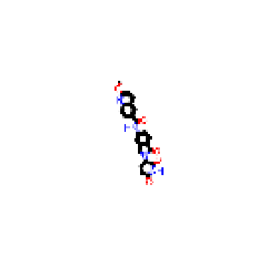 COc1ccc2cc(C(=O)Nc3ccc4c(c3)CN(C3CCC(=O)NC3=O)C4=O)ccc2n1